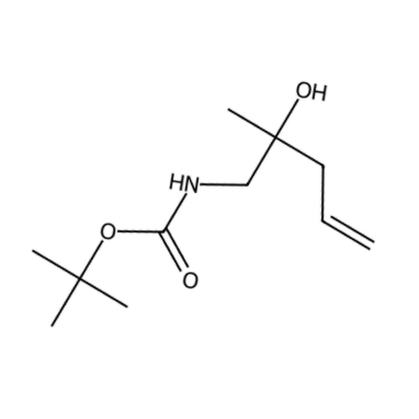 C=CCC(C)(O)CNC(=O)OC(C)(C)C